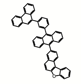 c1cc(-c2c3ccccc3c(-c3ccc4c(ccc5oc6ccccc6c54)c3)c3ccccc23)cc(-c2cc3ccccc3c3ccccc23)c1